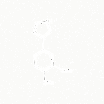 COc1ccc(-c2[c]c[nH]c2)cc1OC